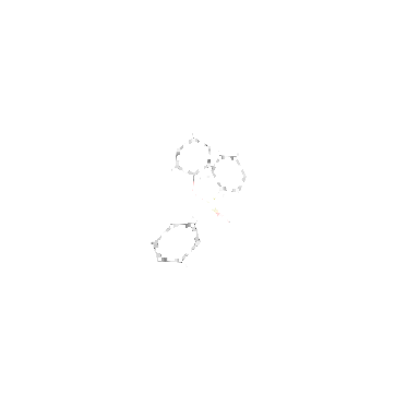 O=[SH](Oc1ccccc1)(c1ccccc1)c1ccccc1